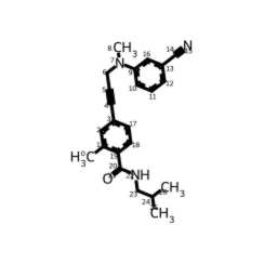 Cc1cc(C#CCN(C)c2cccc(C#N)c2)ccc1C(=O)NCC(C)C